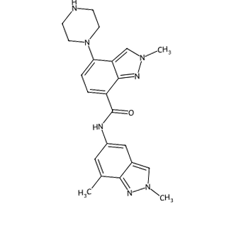 Cc1cc(NC(=O)c2ccc(N3CCNCC3)c3cn(C)nc23)cc2cn(C)nc12